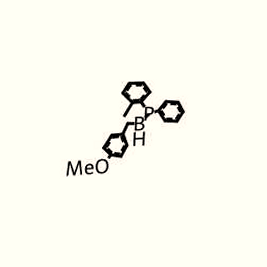 COc1ccc(CBP(c2ccccc2)c2ccccc2C)cc1